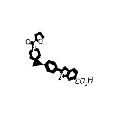 CN1c2cc(C(=O)O)ccc2CC1c1ccc([C@@H]2CC23CCN(C(=O)[C@H]2CCCO2)CC3)cc1